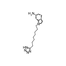 Nc1ccc2ccn(CCCCCCCCc3nnn[nH]3)c2c1